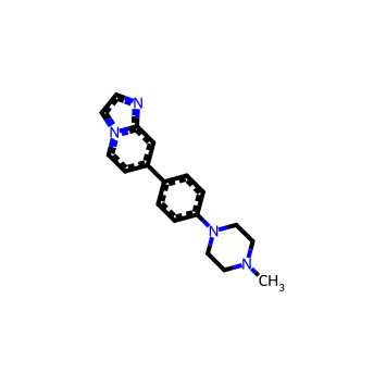 CN1CCN(c2ccc(-c3ccn4ccnc4c3)cc2)CC1